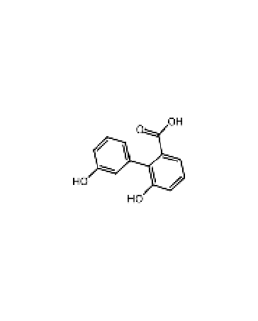 O=C(O)c1cccc(O)c1-c1cccc(O)c1